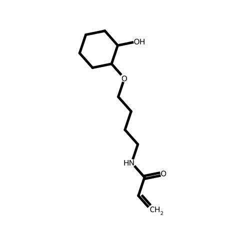 C=CC(=O)NCCCCOC1CCCCC1O